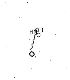 O=C(CCCCCCCc1ccccc1)NO